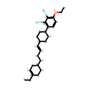 CCOc1ccc(C2CCC(/C=C/CCC3CC=C(CC)CC3)CC2)c(F)c1F